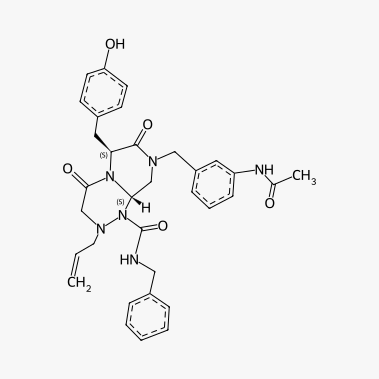 C=CCN1CC(=O)N2[C@@H](Cc3ccc(O)cc3)C(=O)N(Cc3cccc(NC(C)=O)c3)C[C@@H]2N1C(=O)NCc1ccccc1